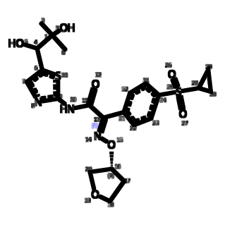 CC(C)(O)C(O)c1cnc(NC(=O)/C(=N/O[C@@H]2CCOC2)c2ccc(S(=O)(=O)C3CC3)cc2)s1